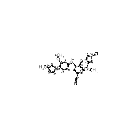 COc1cc(Nc2cc(C#N)nn([C@@H](C)c3ccc(Cl)s3)c2=O)ccc1-n1cnc(C)c1